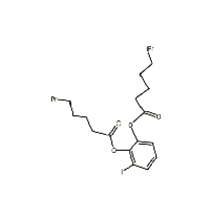 CC(C)CCCCC(=O)Oc1cccc(I)c1OC(=O)CCCCC(C)C